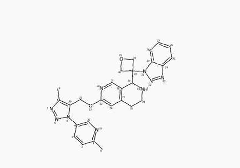 Cc1ccc(-n2nnc(C)c2COc2cc3c(cn2)C(C2(n4nnc5ccccc54)COC2)NCC3)cn1